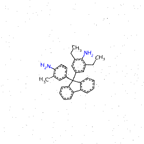 CCc1cc(C2(c3ccc(N)c(C)c3)c3ccccc3-c3ccccc32)cc(CC)c1N